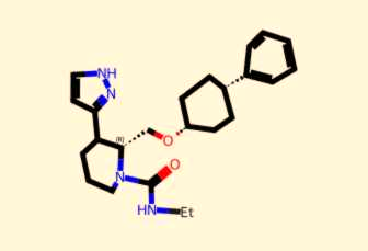 CCNC(=O)N1CCCC(c2cc[nH]n2)[C@@H]1CO[C@H]1CC[C@@H](c2ccccc2)CC1